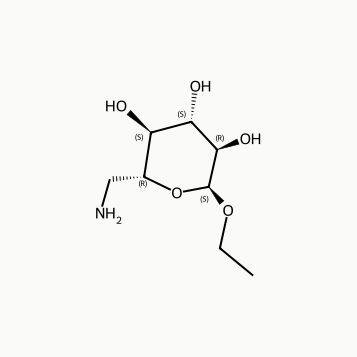 CCO[C@H]1O[C@H](CN)[C@@H](O)[C@H](O)[C@H]1O